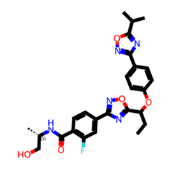 CCC(Oc1ccc(-c2noc(C(C)C)n2)cc1)c1nc(-c2ccc(C(=O)N[C@@H](C)CO)c(F)c2)no1